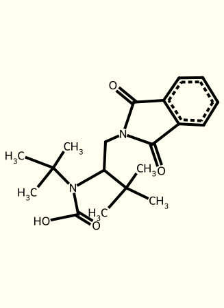 CC(C)(C)C(CN1C(=O)c2ccccc2C1=O)N(C(=O)O)C(C)(C)C